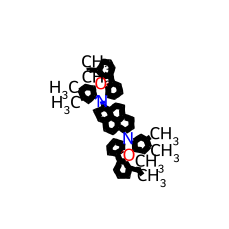 Cc1ccc(N(c2ccc3ccc4c(N(c5ccc(C)c(C)c5)c5cccc6c5oc5c(C(C)C)cccc56)ccc5ccc2c3c54)c2cccc3c2oc2c(C(C)C)cccc23)cc1C